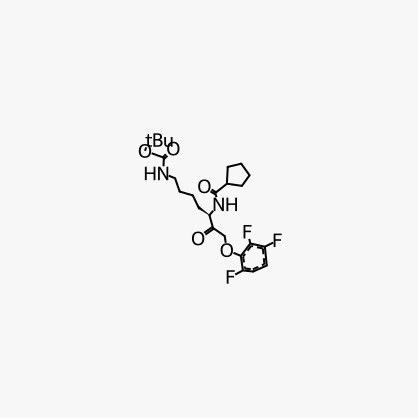 CC(C)(C)OC(=O)NCCCC[C@@H](NC(=O)C1CCCC1)C(=O)COc1c(F)ccc(F)c1F